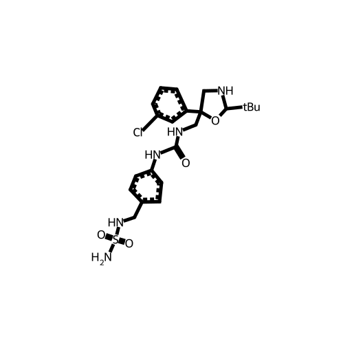 CC(C)(C)C1NCC(CNC(=O)Nc2ccc(CNS(N)(=O)=O)cc2)(c2cccc(Cl)c2)O1